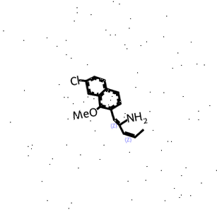 C/C=C\C(N)=C\c1ccc2ccc(Cl)cc2c1OC